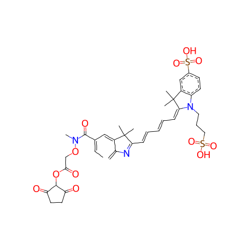 C=C1N=C(/C=C/C=C/C=C2/N(CCCS(=O)(=O)O)c3ccc(S(=O)(=O)O)cc3C2(C)C)C(C)(C)/C1=C/C(=C\C)C(=O)N(C)OCC(=O)OC1C(=O)CCC1=O